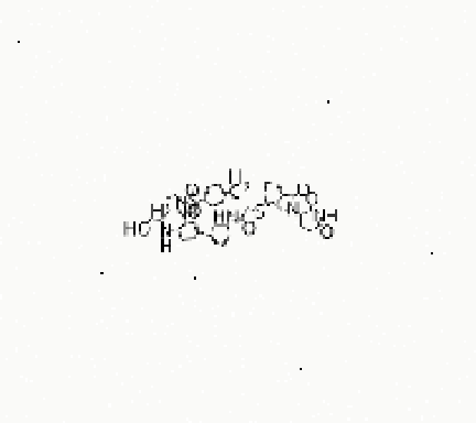 Cc1ccc(S(=O)(=O)N2CC[C@@H]3[C@H](CO)Nc4ccc(-c5cccc(NC(=O)CSc6cccc7c6CN(C6CCC(=O)NC6=O)C7=O)c5)cc4[C@@H]32)cc1